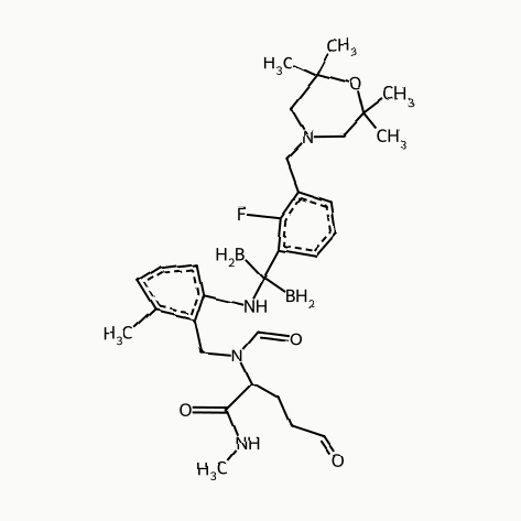 BC(B)(Nc1cccc(C)c1CN(C=O)C(CCC=O)C(=O)NC)c1cccc(CN2CC(C)(C)OC(C)(C)C2)c1F